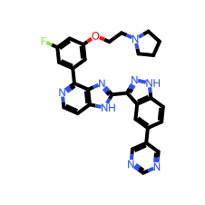 Fc1cc(OCCN2CCCC2)cc(-c2nccc3[nH]c(-c4n[nH]c5ccc(-c6cncnc6)cc45)nc23)c1